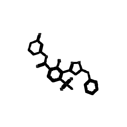 CS(=O)(=O)c1ccc(C(=O)OC2=CC(=O)CCC2)c(Cl)c1C1=NOC(Cc2ccccc2)C1